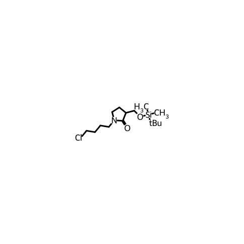 CC(C)(C)[Si](C)(C)OCC1CCN(CCCCCl)C1=O